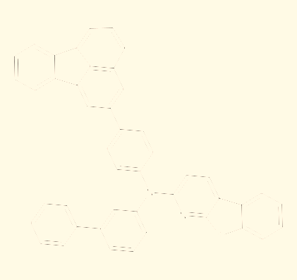 c1ccc(-c2cccc(N(c3ccc(-c4cc5c6c(cccc6c4)-c4ccccc4-5)cc3)c3ccc4c(n3)sc3ccccc34)c2)cc1